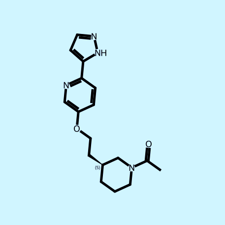 CC(=O)N1CCC[C@@H](CCOc2ccc(-c3ccn[nH]3)nc2)C1